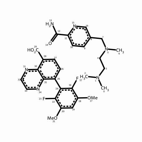 CN(C)CCN(C)Cc1ccc(C(N)=O)nc1.COc1cc(OC)c(F)c(-c2ccc(C(=O)O)c3nccnc23)c1F